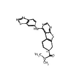 CN(C)C(=O)[C@H]1CCc2c(sc3ncnc(Nc4ccc5nnsc5c4)c23)C1